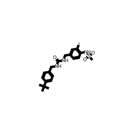 CC(C)(C)c1ccc(CNC(=O)NCc2ccc(NS(C)(=O)=O)c(I)c2)cc1